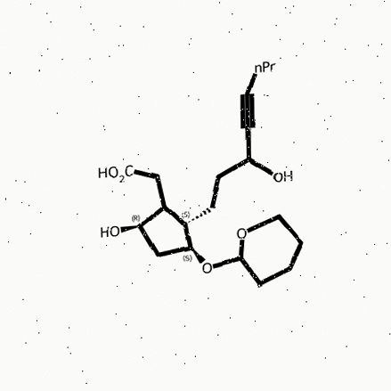 CCCC#CC(O)CC[C@H]1C(CC(=O)O)[C@H](O)C[C@@H]1OC1CCCCO1